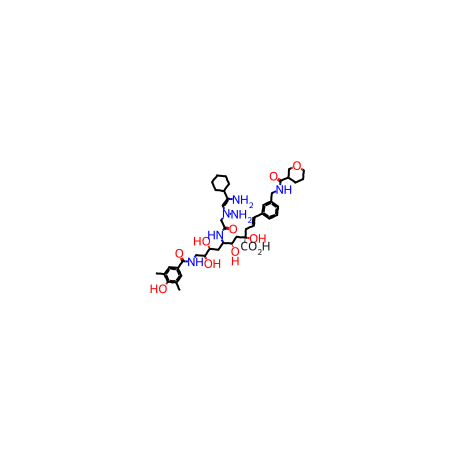 Cc1cc(C(=O)NCC(O)[C@@H](O)CC(NC(=O)CN(N)/C=C(\N)C2CCCCC2)[C@@H](O)C[C@](O)(C/C=C/c2cccc(CNC(=O)C3CCCOC3)c2)C(=O)O)cc(C)c1O